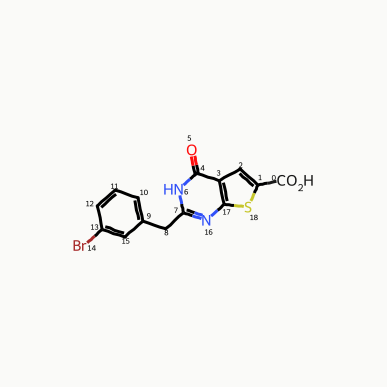 O=C(O)c1cc2c(=O)[nH]c(Cc3cccc(Br)c3)nc2s1